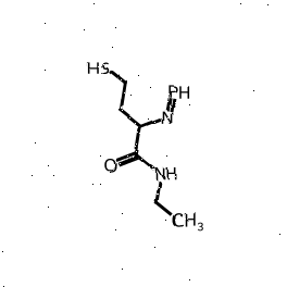 CCNC(=O)C(CCS)N=P